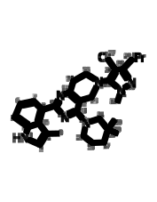 Cc1c[nH]c2cccc(-c3nc4c(c(N5CCCC(C)(C)C5)n3)CN(c3c(Cl)c(C(C)C)nn3C)CC4)c12